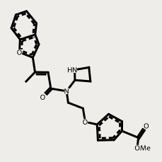 COC(=O)c1ccc(OCCN(C(=O)C=C(C)c2cc3ccccc3o2)C2CCN2)cc1